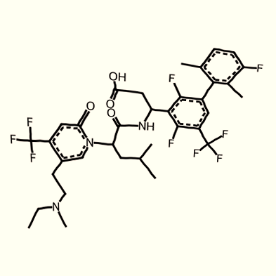 CCN(C)CCc1cn(C(CC(C)C)C(=O)NC(CC(=O)O)c2c(F)c(-c3c(C)ccc(F)c3C)cc(C(F)(F)F)c2F)c(=O)cc1C(F)(F)F